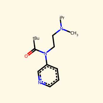 CC(C)N(C)CCN(C(=O)C(C)(C)C)c1cccnc1